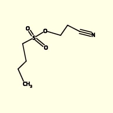 CCCCS(=O)(=O)OCCC#N